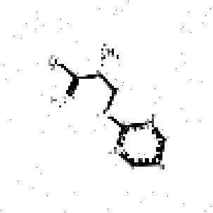 C=C(C)[C@H](C)CSc1ncccn1